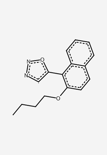 CCCCOc1ccc2ccccc2c1-c1[c]nno1